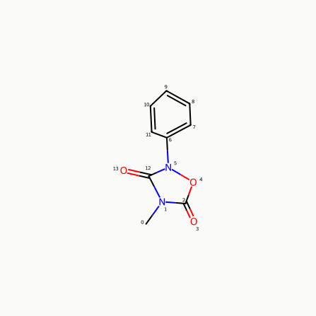 Cn1c(=O)on(-c2ccccc2)c1=O